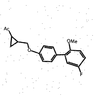 COc1ccc(F)cc1-c1ccc(OCC2CC2C(C)=O)cc1